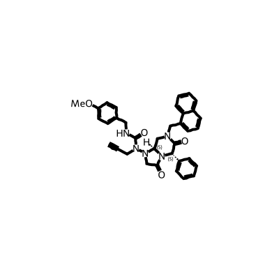 C#CCN(C(=O)NCc1ccc(OC)cc1)N1CC(=O)N2[C@@H](c3ccccc3)C(=O)N(Cc3cccc4ccccc34)C[C@@H]21